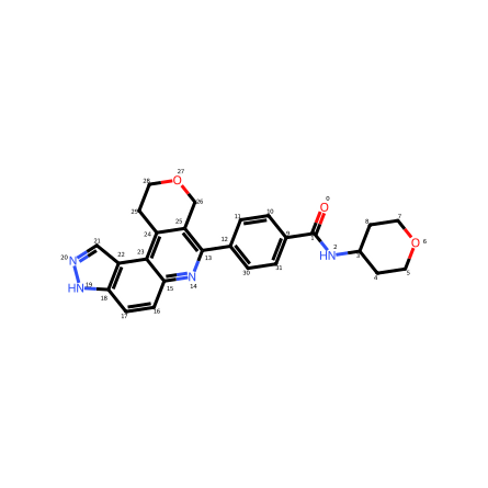 O=C(NC1CCOCC1)c1ccc(-c2nc3ccc4[nH]ncc4c3c3c2COCC3)cc1